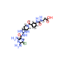 Nc1nc(N)c(C(=O)NC2NCC3(CCN(C(=O)c4cccc(NC(=O)NCCC(=O)O)c4)CC3)N2)nc1Cl